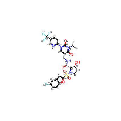 CC(C)n1c(=O)c(CNC(=O)[C@@H]2[C@@H](O)CCN2S(=O)(=O)c2cc3cc(F)ccc3o2)cn(-c2ccc(C(F)(F)F)cn2)c1=O